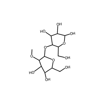 COC1C(OC2C(CO)OC(O)C(O)C2O)OC(CO)C(O)C1O